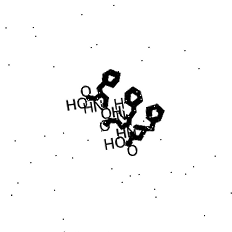 O=C(O)C1CC(Cc2ccccc2)CN1.O=C(O)C1CCC(Cc2ccccc2)N1.O=C(O)C1NCCC1Cc1ccccc1